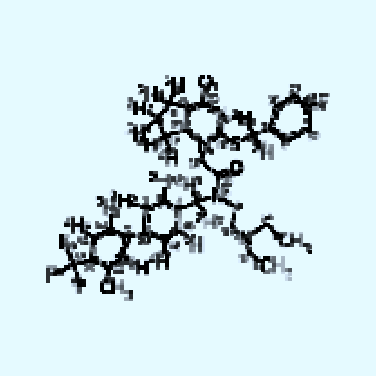 [2H]c1c([2H])c(C([2H])([2H])N(CCN(CC)CC)C(=O)Cn2c(SC([2H])([2H])c3ccc(F)cc3)nc(=O)c3c2C([2H])([2H])C([2H])([2H])C3([2H])[2H])c([2H])c([2H])c1-c1c([2H])c([2H])c(C(F)(F)F)c(C)c1[2H]